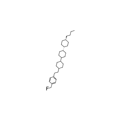 CCCC[C@H]1CC[C@H](C2CCC(C3CCC(CCc4ccc(CF)cc4)CC3)CC2)CC1